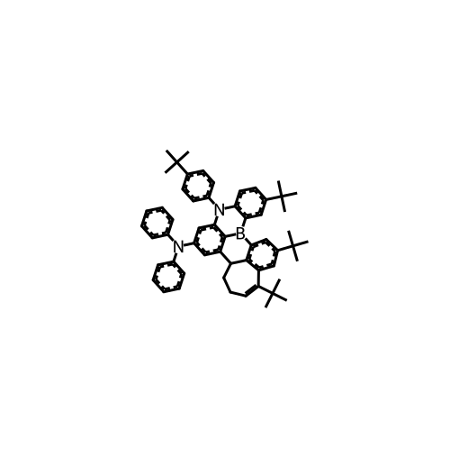 CC(C)(C)C1=CCCC2c3cc(N(c4ccccc4)c4ccccc4)cc4c3B(c3cc(C(C)(C)C)ccc3N4c3ccc(C(C)(C)C)cc3)c3cc(C(C)(C)C)cc1c32